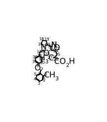 Cc1ccccc1COc1ccc(CC(=O)N2CCCC2C2=NOC(CC(C)C(=O)O)C2)cc1